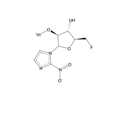 [2H]O[C@@H]1C(n2ccnc2[N+](=O)[O-])O[C@H](CF)[C@H]1O